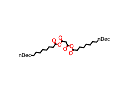 CCCCCCCCCCCCCCCCCC(=O)OC(=O)CC(=O)OC(=O)CCCCCCCCCCCCCCCCC